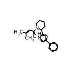 CC(C)=CC(=O)N1CCCCC1c1nc(-c2ccccc2)c[nH]1